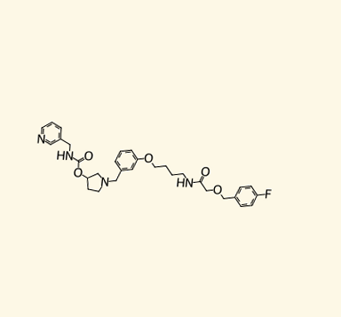 O=C(COCc1ccc(F)cc1)NCCCCOc1cccc(CN2CCC(OC(=O)NCc3cccnc3)C2)c1